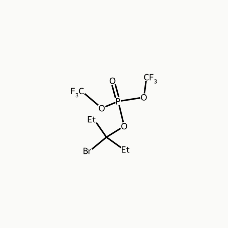 CCC(Br)(CC)OP(=O)(OC(F)(F)F)OC(F)(F)F